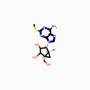 CSc1nc(N)c2ncn([C@H]3C(O)C(O)[C@]4(CO)C[C@H]34)c2n1